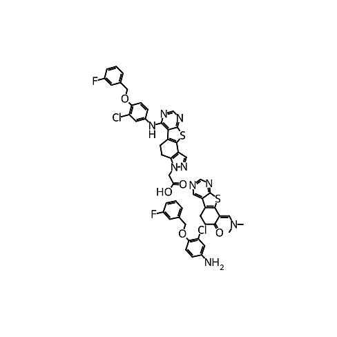 CN(C)C=C1C(=O)CCc2c1sc1ncncc21.Nc1ccc(OCc2cccc(F)c2)c(Cl)c1.O=C(O)Cn1ncc2c1CCc1c-2sc2ncnc(Nc3ccc(OCc4cccc(F)c4)c(Cl)c3)c12